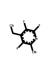 N#CCc1c(F)c(F)nc(C#N)c1F